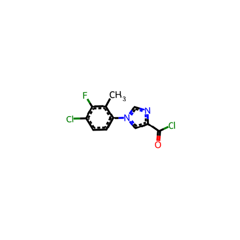 Cc1c(-n2cnc(C(=O)Cl)c2)ccc(Cl)c1F